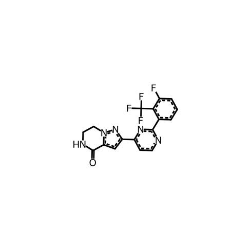 O=C1NCCn2nc(-c3ccnc(-c4cccc(F)c4C(F)(F)F)n3)cc21